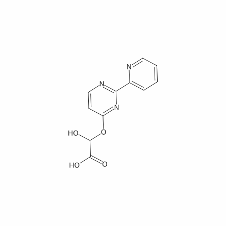 O=C(O)C(O)Oc1ccnc(-c2ccccn2)n1